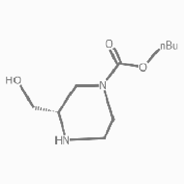 CCCCOC(=O)N1CCN[C@H](CO)C1